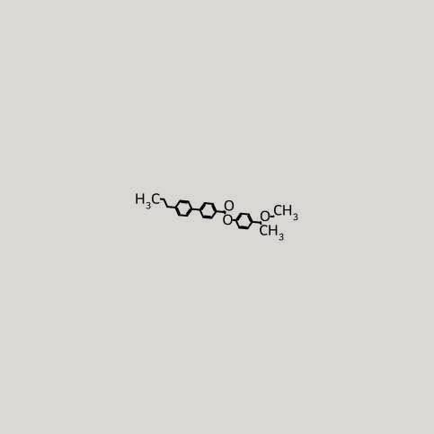 CCCc1ccc(-c2ccc(C(=O)Oc3ccc(C(C)OCC)cc3)cc2)cc1